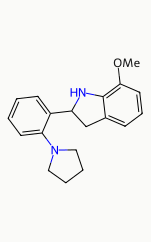 COc1cccc2c1NC(c1ccccc1N1CCCC1)C2